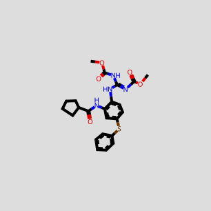 COC(=O)N=C(NC(=O)OC)Nc1ccc(Sc2ccccc2)cc1NC(=O)C1CCCC1